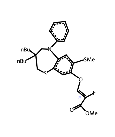 CCCCC1(CCCC)CSc2cc(O/C=C(\F)C(=O)OC)c(SC)cc2N(c2ccccc2)C1